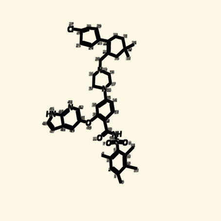 Cc1cc(C)c(S(=O)(=O)NC(=O)c2ccc(N3CCN(CC4=C(c5ccc(Cl)cc5)CCC(C)(C)C4)CC3)cc2Oc2cnc3[nH]ccc3c2)c(C)c1C